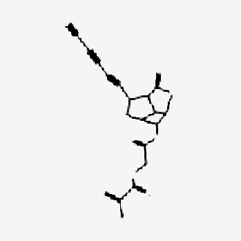 C#CC#CC#CC1C2CC3C(OC(=O)C13)C2OC(=O)COC(=O)C(=C)C